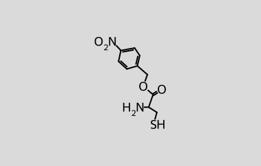 NC(CS)C(=O)OCc1ccc([N+](=O)[O-])cc1